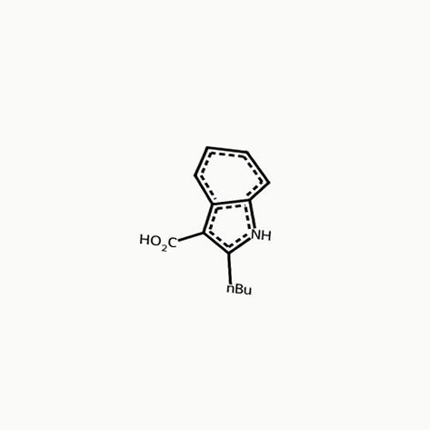 CCCCc1[nH]c2ccccc2c1C(=O)O